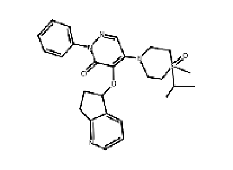 CC(C)S1(C)(=O)CCN(c2cnn(-c3ccccc3)c(=O)c2OC2CCc3ncccc32)CC1